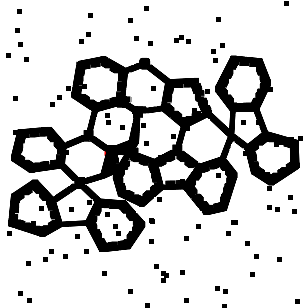 c1ccc2c(c1)-c1ccccc1C21c2ccc3c4c2-n2c5c1cccc5c1ccc[n+](c12)[N+]41c2cccc4c2N(c2ccccc2[Si]42c4ccccc4-c4ccccc42)c2cccc([n+]21)O3